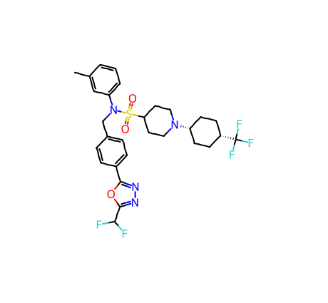 Cc1cccc(N(Cc2ccc(-c3nnc(C(F)F)o3)cc2)S(=O)(=O)C2CCN([C@H]3CC[C@@H](C(F)(F)F)CC3)CC2)c1